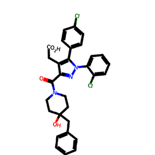 O=C(O)Cc1c(C(=O)N2CCC(O)(Cc3ccccc3)CC2)nn(-c2ccccc2Cl)c1-c1ccc(Cl)cc1